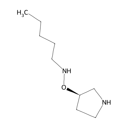 CCCCCNO[C@@H]1CCNC1